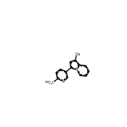 N#Cc1cc(-c2ccc(C(=O)O)nc2)n2ccccc12